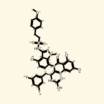 COc1ccc(CCS(=O)(=O)Nc2nn(C)c3c(-n4c([C@H](Cc5cc(F)cc(F)c5)NC(=O)O)nc5cc(Cl)cc(Cl)c5c4=O)ccc(Cl)c23)cc1